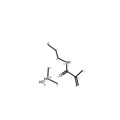 C=C(C)C(=O)NCCC.CNC.Cl